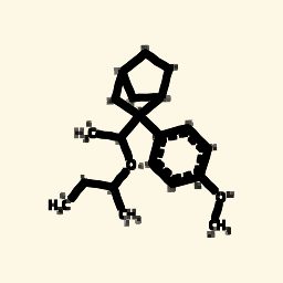 CCC(C)OC(C)C1(c2ccc(OC)cc2)CC2CCC1C2